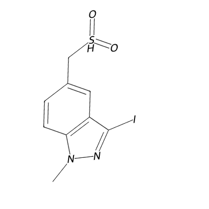 Cn1nc(I)c2cc(C[SH](=O)=O)ccc21